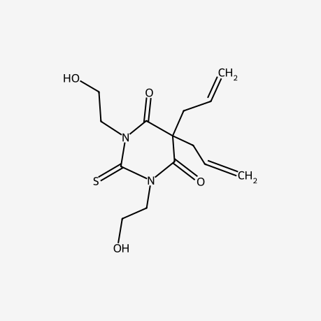 C=CCC1(CC=C)C(=O)N(CCO)C(=S)N(CCO)C1=O